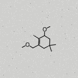 COCC1=C(C)C(OC)CC(C)(C)C1